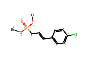 CCOP(=O)(C/C=C/c1ccc(Cl)cc1)OCC